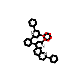 c1ccc(-c2cc(-c3ccccc3)nc(-c3ccccc3-c3cc(-c4ccccc4)nc4c3ccc3ccc(-c5ccccc5)nc34)c2)cc1